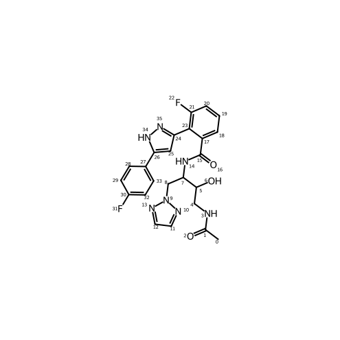 CC(=O)NCC(O)C(Cn1nccn1)NC(=O)c1cccc(F)c1-c1cc(-c2ccc(F)cc2)[nH]n1